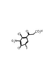 O=C(O)CC(=O)c1cc(F)c(Cl)c([N+](=O)[O-])c1Cl